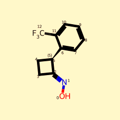 ON=C1CC[C@H]1c1ccccc1C(F)(F)F